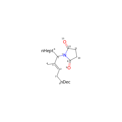 CCCCCCCCCCCC=C(C)C(CCCCCCC)N1C(=O)CCC1=O